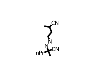 CCCC(C)(C#N)N=NCCC(C)C#N